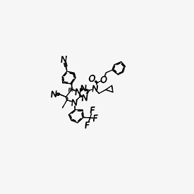 CC1=C(C#N)[C@@H](c2ccc(C#N)cc2)n2nc(N(CC3CC3)C(=O)OCc3ccccc3)nc2N1c1cccc(C(F)(F)F)c1